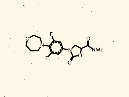 CNC(=O)C1CN(c2cc(F)c(N3CCCOCC3)c(F)c2)C(=O)O1